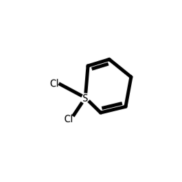 ClS1(Cl)C=CCC=C1